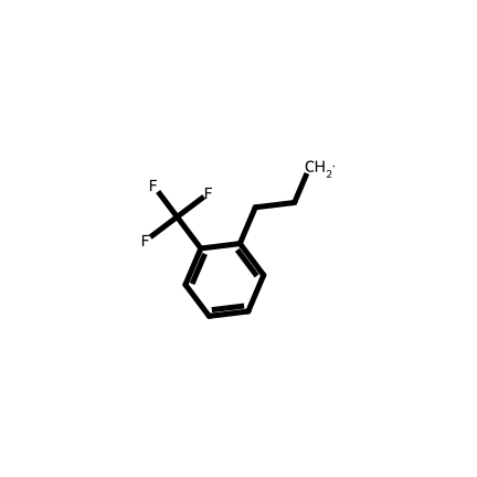 [CH2]CCc1ccccc1C(F)(F)F